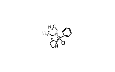 CCN(CC)[Si](Cl)(C1=NCCS1)c1ccccc1